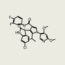 COc1cc(OC)c(-n2cc3c(c2C(C)C)[C@@]2(C(=O)Nc4cc(Cl)ccc42)N(c2ccc(F)c(F)c2)C3=O)cn1